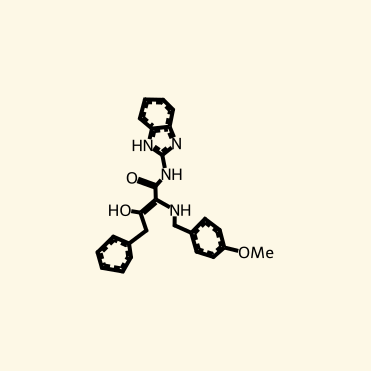 COc1ccc(CN/C(C(=O)Nc2nc3ccccc3[nH]2)=C(/O)Cc2ccccc2)cc1